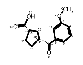 COc1cccc(C(=O)[C@@H]2CC[C@H](C(=O)O)C2)c1